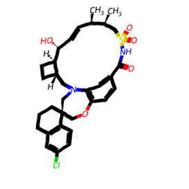 C[C@@H]1/C=C/[C@@H](O)[C@@H]2CC[C@H]2CN2C[C@@]3(CCCc4cc(Cl)ccc43)COc3ccc(cc32)C(=O)NS(=O)(=O)C[C@@H]1C